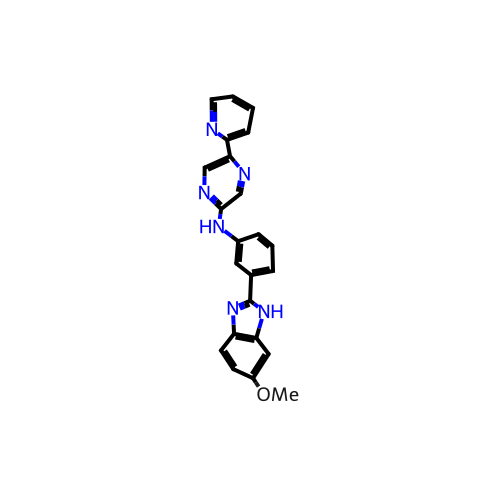 COc1ccc2nc(-c3cccc(Nc4cnc(-c5ccccn5)cn4)c3)[nH]c2c1